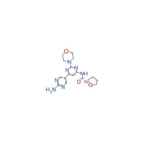 Nc1ncc(-c2cc(NC(=O)[C@@H]3CCCO3)nc(N3CCOCC3)n2)cn1